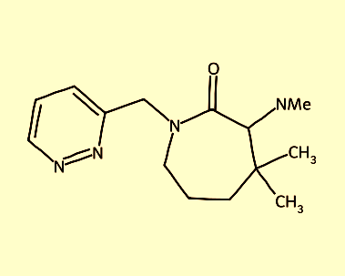 CNC1C(=O)N(Cc2cccnn2)CCCC1(C)C